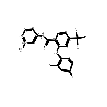 Cc1cc(F)ccc1Oc1cc(C(F)(F)F)ccc1C(=O)Nc1ccn[n+](O)c1